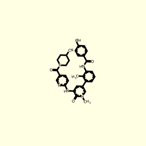 Cc1c(NC(=O)c2ccc(C(C)(C)C)cc2)cccc1-c1cc(Nc2ccc(C(=O)N3CCC(C#N)CC3)cn2)c(=O)n(C)c1